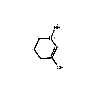 NN1C=C(O)CCC1